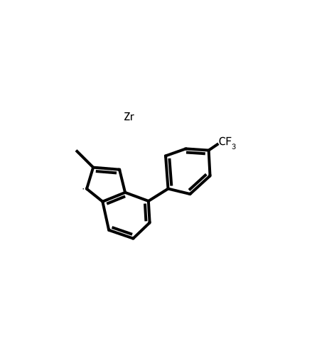 CC1=Cc2c(cccc2-c2ccc(C(F)(F)F)cc2)[CH]1.[Zr]